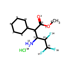 COC(=O)C(C1CCCCC1)C(N)C(F)C(F)F.Cl